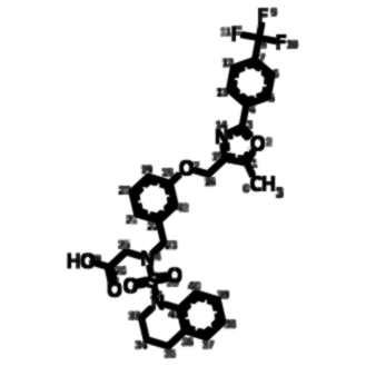 Cc1oc(-c2ccc(C(F)(F)F)cc2)nc1COc1cccc(CN(CC(=O)O)S(=O)(=O)N2CCCc3ccccc32)c1